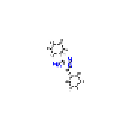 N=C(/N=N\Cc1ccccc1)c1ccccc1